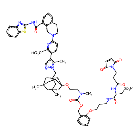 Cc1c(-c2ccc(N3CCc4cccc(C(=O)Nc5nc6ccccc6s5)c4C3)nc2C(=O)O)cnn1CC12CC3(C)CC(C)(C1)CC(OCCN(C)C(=O)OCc1cc[c]cc1OCCCNC(=O)[C@H](CS(=O)(=O)O)NC(=O)CCN1C(=O)C=CC1=O)(C3)C2